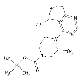 CC1SCc2ncnc(N3CCN(C(=O)OC(C)(C)C)CC3C)c21